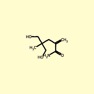 C=C(CC(C)(CO)CO)C(N)=O